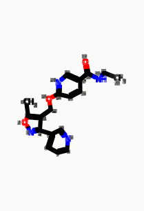 Cc1onc(-c2cccnc2)c1COc1ccc(C(=O)NCC(F)(F)F)cn1